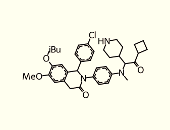 CCC(C)Oc1cc2c(cc1OC)CC(=O)N(c1ccc(N(C)C(C(=O)C3CCC3)C3CCNCC3)cc1)C2c1ccc(Cl)cc1